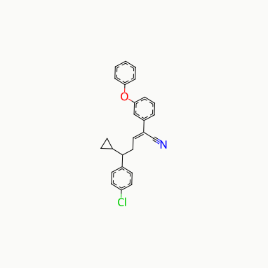 N#C/C(=C\CC(c1ccc(Cl)cc1)C1CC1)c1cccc(Oc2ccccc2)c1